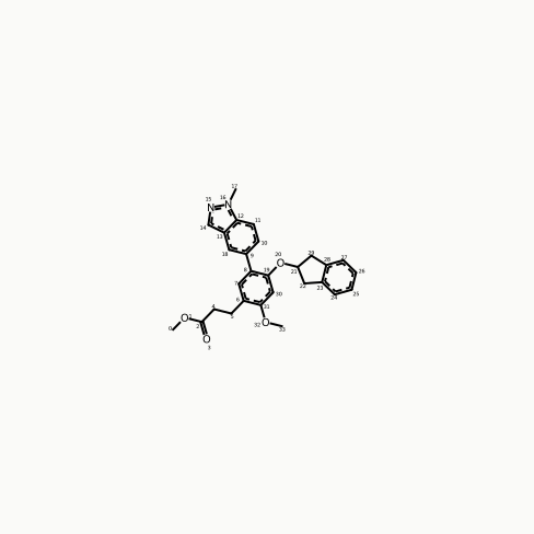 COC(=O)CCc1cc(-c2ccc3c(cnn3C)c2)c(OC2Cc3ccccc3C2)cc1OC